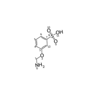 NCOc1cccc(S(=O)(=O)O)c1